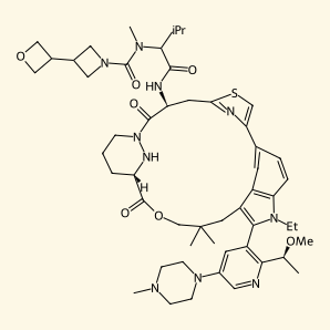 CCn1c(-c2cc(N3CCN(C)CC3)cnc2[C@H](C)OC)c2c3cc(ccc31)-c1csc(n1)C[C@H](NC(=O)C(C(C)C)N(C)C(=O)N1CC(C3COC3)C1)C(=O)N1CCC[C@H](N1)C(=O)OCC(C)(C)C2